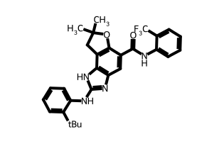 CC1(C)Cc2c(c(C(=O)Nc3ccccc3C(F)(F)F)cc3nc(Nc4ccccc4C(C)(C)C)[nH]c23)O1